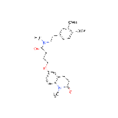 COc1ccc(CCN(C)C(=O)CCCOc2ccc3c(c2)CCC(=O)N3C)cc1OC